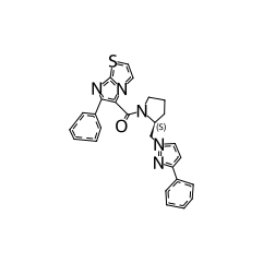 O=C(c1c(-c2ccccc2)nc2sccn12)N1CCC[C@H]1Cn1ccc(-c2ccccc2)n1